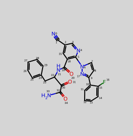 N#Cc1cnc(-n2ccc(-c3ccccc3F)n2)c(C(=O)NC(Cc2ccccc2)C(=O)C(N)=O)c1